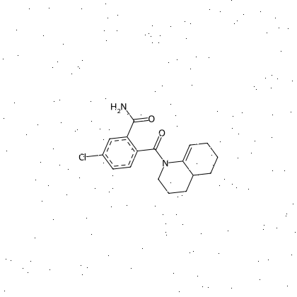 NC(=O)c1cc(Cl)ccc1C(=O)N1CCCC2CCCC=C21